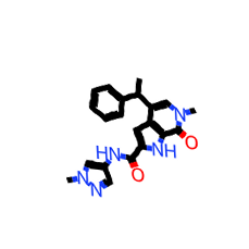 CC(c1ccccc1)c1cn(C)c(=O)c2[nH]c(C(=O)Nc3cnn(C)c3)cc12